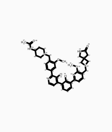 COc1cc(-c2nccc(-c3cccc(-c4ccc(CN5CC6(CNC(=O)C6)C5)c(OC)n4)c3Cl)c2Cl)ccc1CN1CCC(NC(C)=O)CC1